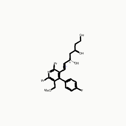 COCc1c(C(C)C)nc(C(C)C)c(/C=C/[C@@H](O)CC(O)CCO)c1-c1ccc(F)cc1